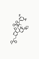 COC(=O)CCc1ccc(OC)c(-c2ccc(N3CCC3)nc2CN2C(=O)OC(c3cc(F)cc(F)c3)C2C)c1